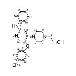 OCCN1CCN(c2nc(Nc3ccccc3)ncc2Oc2ccc(Cl)cc2)CC1